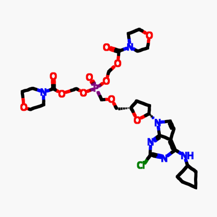 O=C(OCOP(=O)(COC[C@@H]1CC[C@H](n2ccc3c(NC4CCCC4)nc(Cl)nc32)O1)OCOC(=O)N1CCOCC1)N1CCOCC1